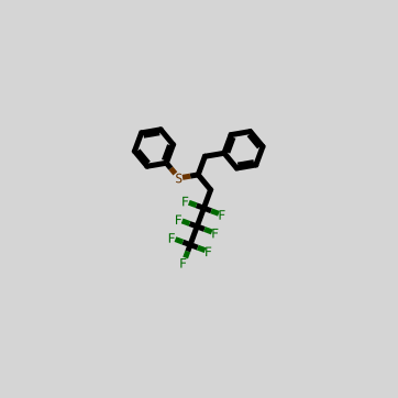 FC(F)(F)C(F)(F)C(F)(F)CC(Cc1ccccc1)Sc1ccccc1